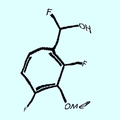 COc1c(F)ccc(C(O)F)c1F